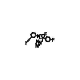 Fc1ccc(C2(Cn3cncn3)CN(c3cccc(C#CI)c3)CO2)c(F)c1